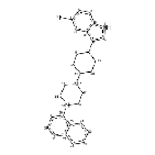 Fc1ccc2[nH]cc(C3CCC(N4CCN(c5cccc6ccccc56)CC4)CC3)c2c1